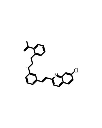 C=C(C)c1ccccc1CC[CH]c1cccc(/C=C/c2ccc3ccc(Cl)cc3n2)c1